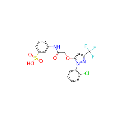 O=C(COc1cc(C(F)(F)F)nn1-c1ccccc1Cl)Nc1cccc(S(=O)(=O)O)c1